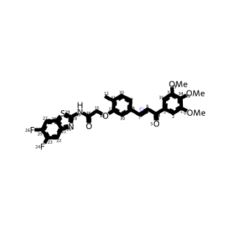 COc1cc(C(=O)/C=C/c2ccc(C)c(OCC(=O)Nc3nc4cc(F)c(F)cc4s3)c2)cc(OC)c1OC